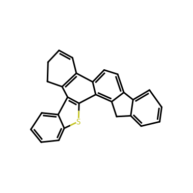 C1=Cc2c(c3c4ccccc4sc3c3c4c(ccc23)-c2ccccc2C4)CC1